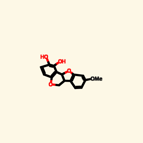 COc1ccc2c(c1)OC1c3c(ccc(O)c3O)OCC21